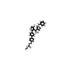 CCOC(=O)CCc1ccc(-c2ccc(-c3onc(C)c3C(O)c3cn(Cc4ccccc4)nn3)cc2)cc1